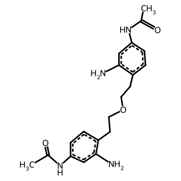 CC(=O)Nc1ccc(CCOCCc2ccc(NC(C)=O)cc2N)c(N)c1